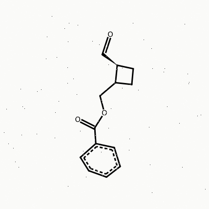 O=C[C@H]1CCC1COC(=O)c1ccccc1